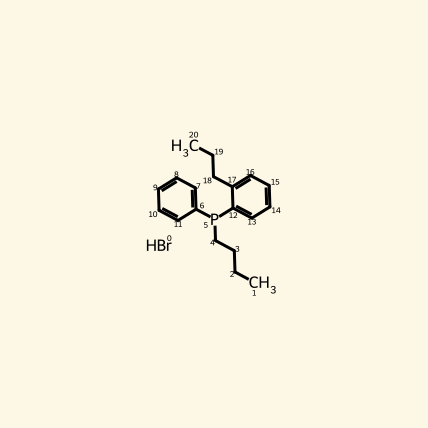 Br.CCCCP(c1ccccc1)c1ccccc1CCC